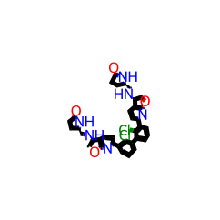 O=C1CC[C@H](CN[C@H]2COc3nc(-c4cccc(-c5cccc(-c6ccc7c(n6)OC[C@H]7NC[C@H]6CCC(=O)N6)c5Cl)c4Cl)ccc32)N1